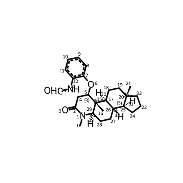 CN1C(=O)C[C@@H](Oc2ccccc2NC=O)[C@]2(C)[C@H]3CC[C@]4(C)CCC[C@H]4[C@@H]3CC[C@@H]12